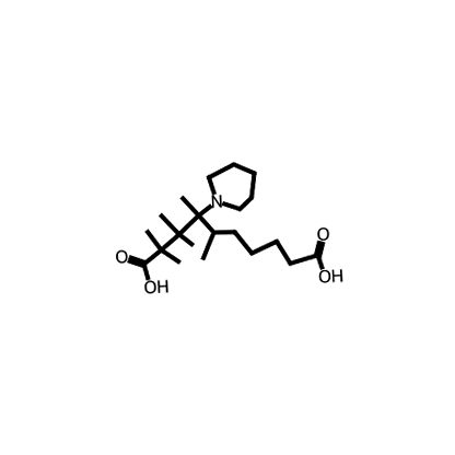 CC(CCCCC(=O)O)C(C)(N1CCCCC1)C(C)(C)C(C)(C)C(=O)O